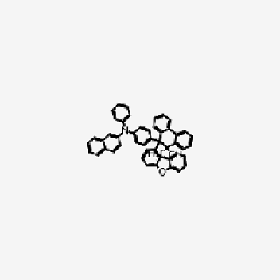 CC1(C)c2ccccc2-c2ccccc2C1(c1ccc(N(c2ccccc2)c2ccc3ccccc3c2)cc1)c1cccc2oc3ccccc3c12